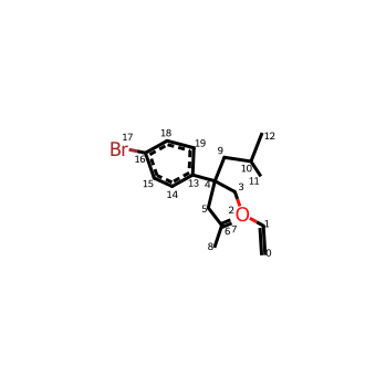 C=COCC(CC(=C)C)(CC(C)C)c1ccc(Br)cc1